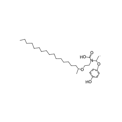 [CH2]C(Oc1ccc(O)cc1)N(CCOC(C)CCCCCCCCCCCCCCCC)C(=O)O